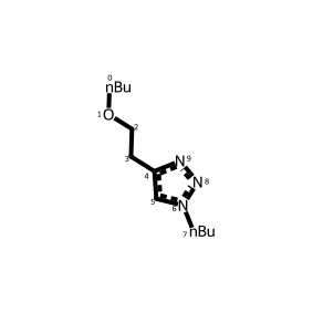 CCCCOCCc1cn(CCCC)nn1